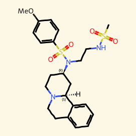 COc1ccc(S(=O)(=O)N(CCNS(C)(=O)=O)[C@@H]2CCN3CCc4ccccc4[C@@H]3C2)cc1